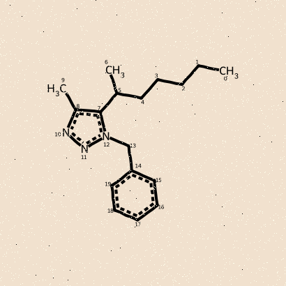 CCCCCC(C)c1c(C)nnn1Cc1ccccc1